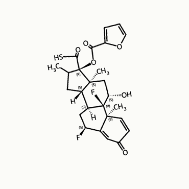 CC1C[C@H]2[C@@H]3C[C@H](F)C4=CC(=O)C=C[C@]4(C)[C@@]3(F)[C@@H](O)C[C@]2(C)[C@@]1(OC(=O)c1ccco1)C(=O)S